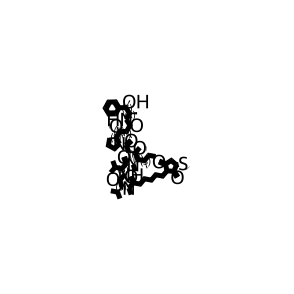 CC[C@H](C)[C@@H]([C@@H](CC(=O)N1CCC[C@H]1[C@H](OC)[C@@H](C)C(=O)N[C@H](C)[C@@H](O)c1ccccc1)OC)N(C)C(=O)[C@@H](NC(=O)[C@H](C(C)C)N(C)C(=O)CCCCCC1C(=O)CC(SC)C1=O)C(C)C